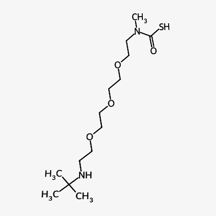 CN(CCOCCOCCOCCNC(C)(C)C)C(=O)S